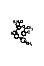 CC(Oc1cc(-c2cnc3ccc(N4CCN(C)CC4)cn23)sc1C(N)=O)c1ccccc1Cl